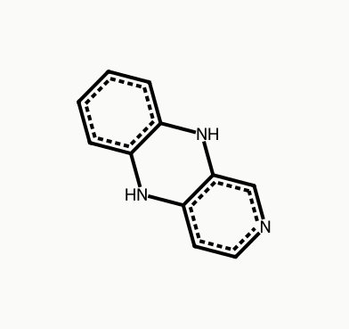 c1ccc2c(c1)Nc1ccncc1N2